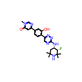 Cn1cnc(-c2ccc(-c3cnc(N[C@H]4CC(C)(C)NC(C)(C)[C@H]4F)nn3)c(O)c2)cc1=O